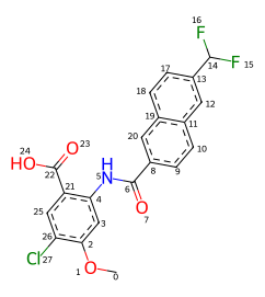 COc1cc(NC(=O)c2ccc3cc(C(F)F)ccc3c2)c(C(=O)O)cc1Cl